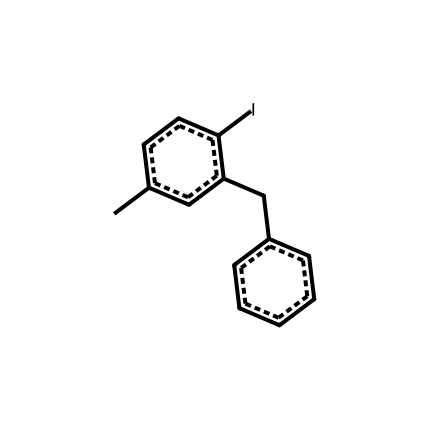 Cc1ccc(I)c(Cc2ccccc2)c1